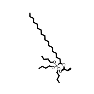 C=CC(=O)OC(CCCCCCCCCCCCCCCCC)[Si](OCCCC)(OCCCC)OCCCC